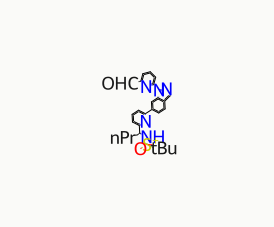 CCC[C@H](N[S+]([O-])C(C)(C)C)c1cccc(-c2ccc3cnn(-c4cccc(C=O)n4)c3c2)n1